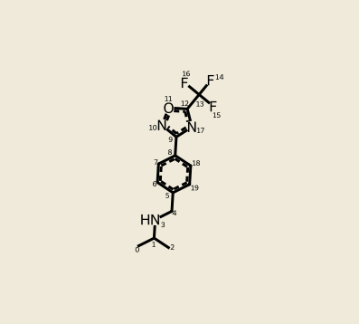 CC(C)NCc1ccc(-c2noc(C(F)(F)F)n2)cc1